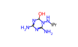 CC(C)NN1C(N)=NC(N)=NC1O